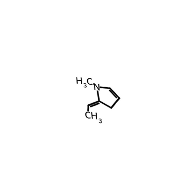 C/C=C1\CC=CN1C